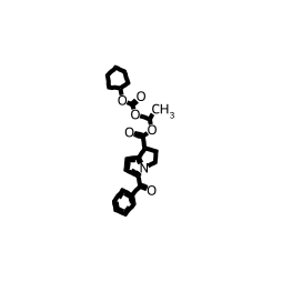 CC(OC(=O)OC1CCCCC1)OC(=O)C1CCn2c(C(=O)c3ccccc3)ccc21